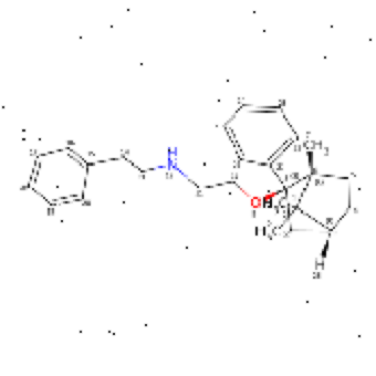 CC1(C)[C@@H]2CC[C@@]1(C)[C@@](OCCNCCc1ccccc1)(c1ccccc1)C2